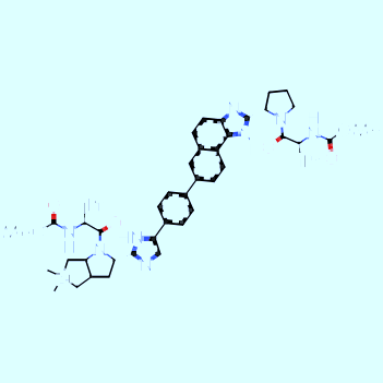 COC(=O)N[C@H](C(=O)N1CCC[C@H]1c1nc2ccc3cc(-c4ccc(-c5cnc([C@@H]6CC7C[Si](C)(C)CC7N6C(=O)[C@@H](NC(=O)OC)C(C)C)[nH]5)cc4)ccc3c2[nH]1)C(C)C